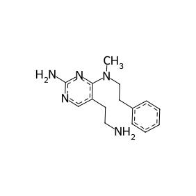 CN(CCc1ccccc1)c1nc(N)ncc1CCN